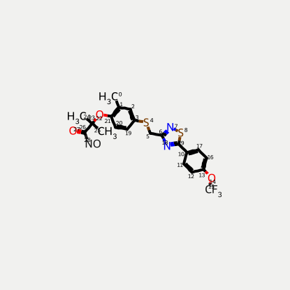 Cc1cc(SCc2nsc(-c3ccc(OC(F)(F)F)cc3)n2)ccc1OC(C)(C)C(=O)N=O